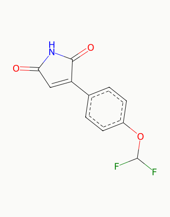 O=C1C=C(c2ccc(OC(F)F)cc2)C(=O)N1